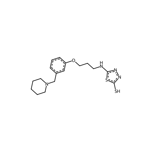 Sc1nnc(NCCCOc2cccc(CN3CCCCC3)c2)s1